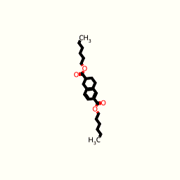 CCCCCCOC(=O)c1ccc2c(c1)CCC(C(=O)OCCCCCC)C2